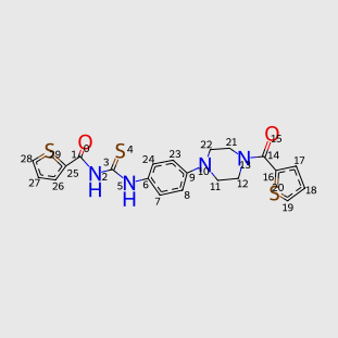 O=C(NC(=S)Nc1ccc(N2CCN(C(=O)c3cccs3)CC2)cc1)c1cccs1